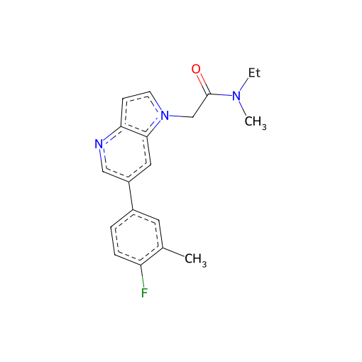 CCN(C)C(=O)Cn1ccc2ncc(-c3ccc(F)c(C)c3)cc21